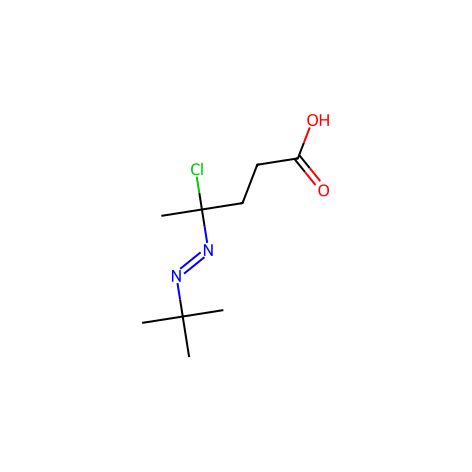 CC(C)(C)N=NC(C)(Cl)CCC(=O)O